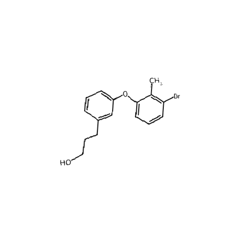 Cc1c(Br)cccc1Oc1cccc(CCCO)c1